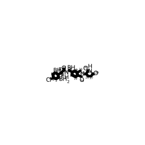 Bc1cc(Cl)cc(B)c1C(F)(F)C(=O)NC(B)c1ccc2c(c1)CN(C1CCC(=O)NC1=O)C2=O